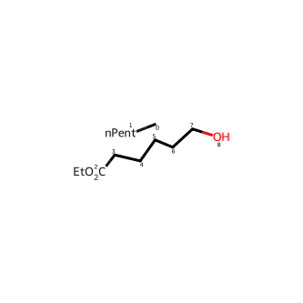 CCCCCC.CCOC(=O)CCCCCO